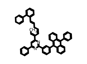 C/C=C(\C=C/C/C=C/c1ccccc1C1=CCCC=C1)c1cc(-c2ccccc2)nc(-c2cccc(-c3c4ccccc4c(-c4ccccc4)c4ccccc34)c2)n1